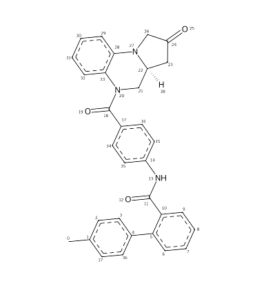 Cc1ccc(-c2ccccc2C(=O)Nc2ccc(C(=O)N3C[C@@H]4CC(=O)CN4c4ccccc43)cc2)cc1